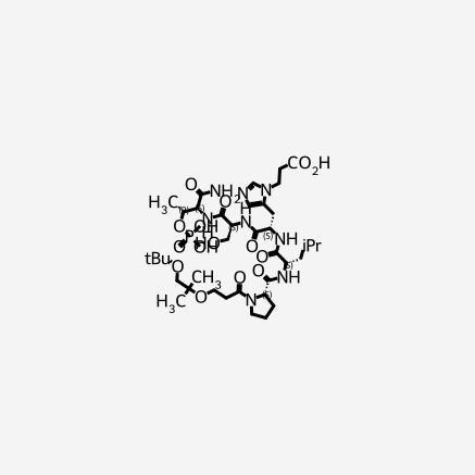 CC(C)C[C@H](NC(=O)[C@@H]1CCCN1C(=O)CCOC(C)(C)COC(C)(C)C)C(=O)N[C@@H](Cc1cncn1CCC(=O)O)C(=O)N[C@@H](CO)C(=O)N[C@H](C(N)=O)[C@@H](C)OP(=O)(O)O